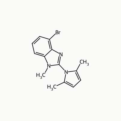 Cc1ccc(C)n1-c1nc2c(Br)cccc2n1C